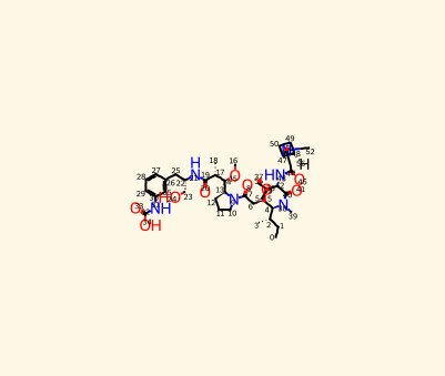 CC[C@H](C)[C@@H]([C@@H](CC(=O)N1CCC[C@H]1[C@H](OC)[C@@H](C)C(=O)N[C@H](CO)Cc1cccc(NC(=O)O)c1)OC)N(C)C(=O)[C@@H](NC(=O)[C@@H]1C2CC(C2)N1C)C(C)C